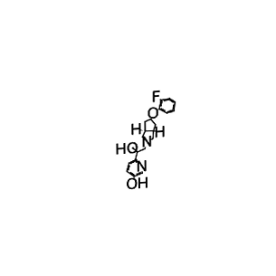 Oc1ccc([C@@H](O)CN2C[C@H]3CC(Oc4ccccc4F)C[C@H]3C2)nc1